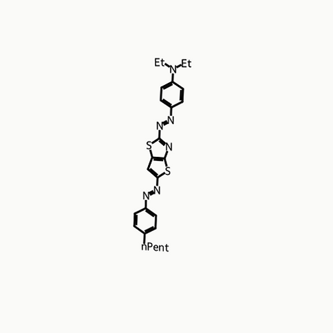 CCCCCc1ccc(N=Nc2cc3sc(N=Nc4ccc(N(CC)CC)cc4)nc3s2)cc1